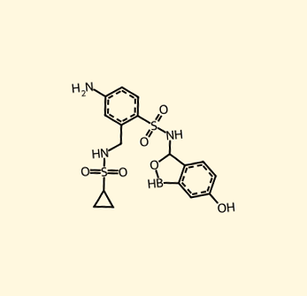 Nc1ccc(S(=O)(=O)NC2OBc3cc(O)ccc32)c(CNS(=O)(=O)C2CC2)c1